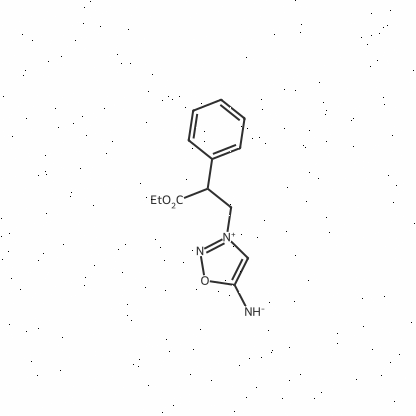 CCOC(=O)C(C[n+]1cc([NH-])on1)c1ccccc1